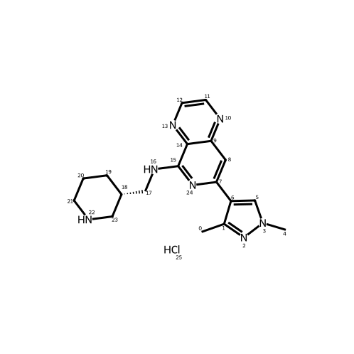 Cc1nn(C)cc1-c1cc2nccnc2c(NC[C@H]2CCCNC2)n1.Cl